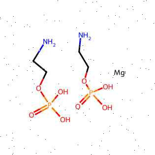 NCCOP(=O)(O)O.NCCOP(=O)(O)O.[Mg]